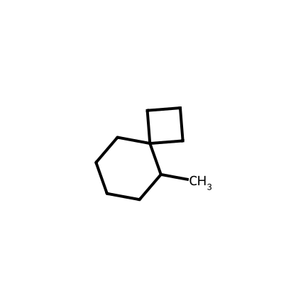 CC1CCCCC12CCC2